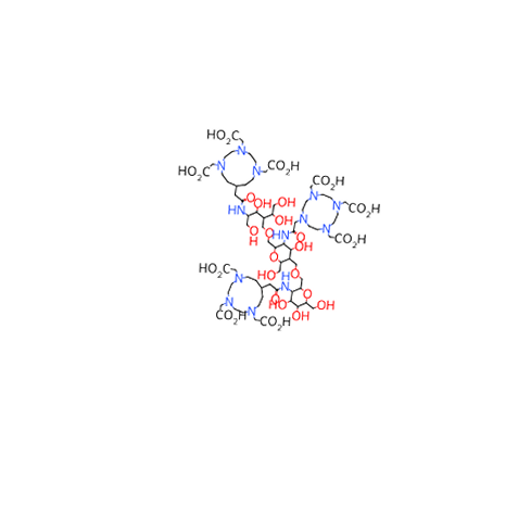 O=C(O)CN1CCC(CC(=O)NC(CO)C(O)C(COCC2OC(CO)C(COCC3OC(CO)C(O)C(O)C3NC(=O)CC3CCN(CC(=O)O)CCN(CC(=O)O)CCN(CC(=O)O)CC3)C(O)C2NC(=O)CN2CCN(CC(=O)O)CCN(CC(=O)O)CCN(CC(=O)O)CC2)C(O)CO)CCN(CC(=O)O)CCN(CC(=O)O)CC1